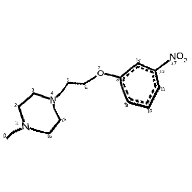 CN1CCN(CCOc2cccc([N+](=O)[O-])c2)CC1